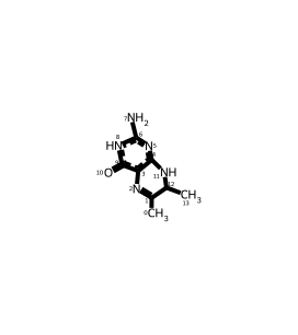 CC1=Nc2c(nc(N)[nH]c2=O)NC1C